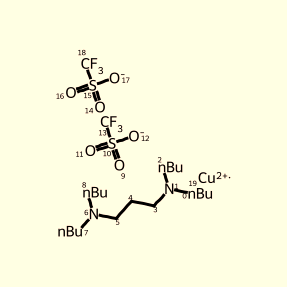 CCCCN(CCCC)CCCN(CCCC)CCCC.O=S(=O)([O-])C(F)(F)F.O=S(=O)([O-])C(F)(F)F.[Cu+2]